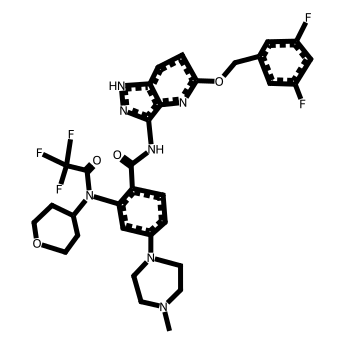 CN1CCN(c2ccc(C(=O)Nc3n[nH]c4ccc(OCc5cc(F)cc(F)c5)nc34)c(N(C(=O)C(F)(F)F)C3CCOCC3)c2)CC1